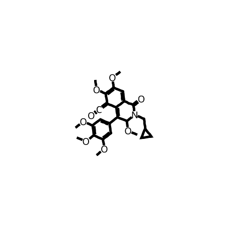 COc1cc(C2=c3c(cc(OC)c(OC)c3=C=O)C(=O)N(CC3CC3)C2OC)cc(OC)c1OC